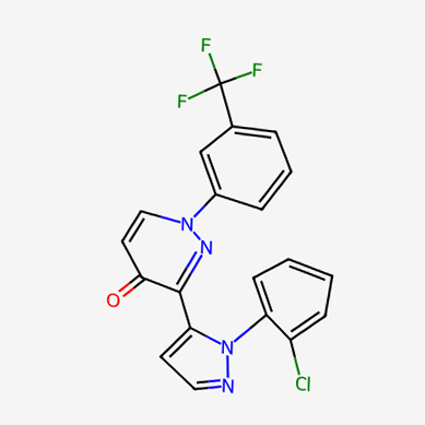 O=c1ccn(-c2cccc(C(F)(F)F)c2)nc1-c1ccnn1-c1ccccc1Cl